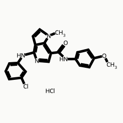 COc1ccc(NC(=O)c2cnc(Nc3cccc(Cl)c3)c3ccn(C)c23)cc1.Cl